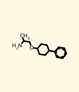 CC(N)COC1CCC(c2ccccc2)CC1